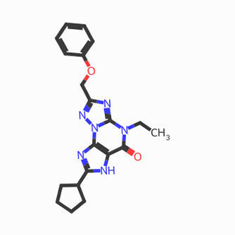 CCn1c(=O)c2[nH]c(C3CCCC3)nc2n2nc(COc3ccccc3)nc12